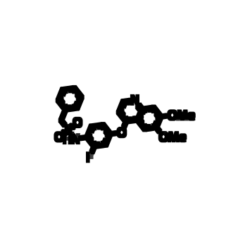 COc1cc2nccc(Oc3ccc(NS(=O)(=O)Cc4ccccc4)c(F)c3)c2cc1OC